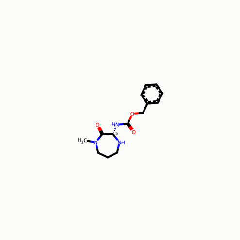 CN1CCCN[C@@H](NC(=O)OCc2ccccc2)C1=O